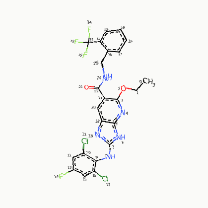 CCOc1nc2[nH]c(Nc3c(Cl)cc(F)cc3Cl)nc2cc1C(=O)NCc1ccccc1C(F)(F)F